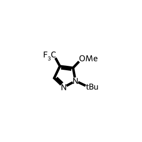 COc1c(C(F)(F)F)cnn1C(C)(C)C